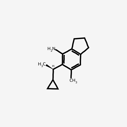 Cc1cc2c(c(N)c1[C@H](C)C1CC1)CCC2